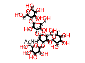 CC(=O)N[C@H]1[C@H](O[C@H]2[C@@H](O)[C@@H](CO)O[C@@H](O[C@H]3[C@H](O)[C@@H](O)C(O)O[C@@H]3CO)[C@@H]2O)O[C@H](CO)[C@@H](O[C@@H]2O[C@@H](C)[C@@H](O)[C@@H](O)[C@@H]2O)[C@@H]1O[C@@H]1O[C@H](CO)[C@H](O)[C@H](O)[C@H]1O